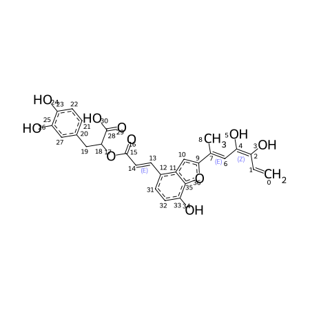 C=C/C(O)=C(O)\C=C(/C)c1cc2c(/C=C/C(=O)OC(Cc3ccc(O)c(O)c3)C(=O)O)ccc(O)c2o1